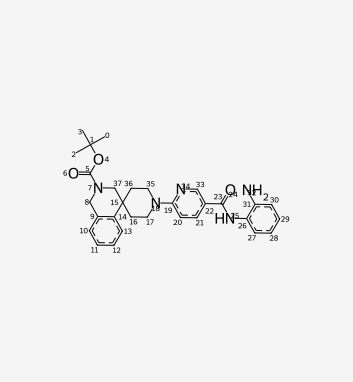 CC(C)(C)OC(=O)N1Cc2ccccc2C2(CCN(c3ccc(C(=O)Nc4ccccc4N)cn3)CC2)C1